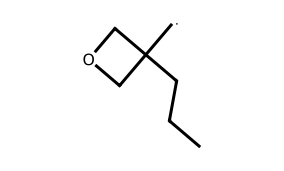 [CH2]C1(CCC)COC1